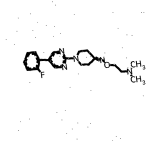 CN(C)CCON=C1CCN(c2ncc(-c3ccccc3F)cn2)CC1